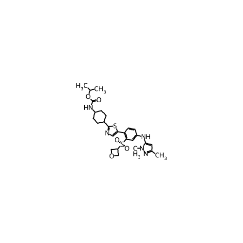 Cc1cc(Nc2ccc(-c3cnc(C4CCC(NC(=O)OC(C)C)CC4)s3)c(S(=O)(=O)C3COC3)c2)n(C)n1